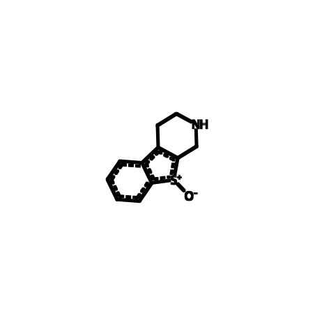 [O-][s+]1c2c(c3ccccc31)CCNC2